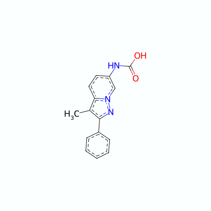 Cc1c(-c2ccccc2)nn2cc(NC(=O)O)ccc12